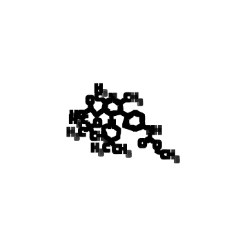 CCOC(=O)Nc1ccc(-c2c(C)nc(C)c([C@H](OC(C)(C)C)C(=O)O)c2N2CCC(C)(C)CC2)cc1